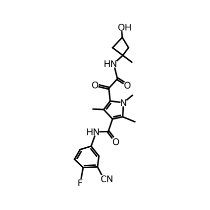 Cc1c(C(=O)Nc2ccc(F)c(C#N)c2)c(C)n(C)c1C(=O)C(=O)NC1(C)CC(O)C1